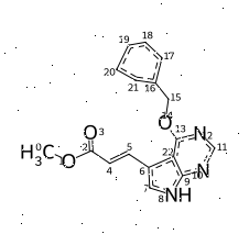 COC(=O)C=Cc1c[nH]c2ncnc(OCc3ccccc3)c12